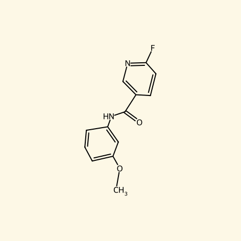 COc1cccc(NC(=O)c2ccc(F)nc2)c1